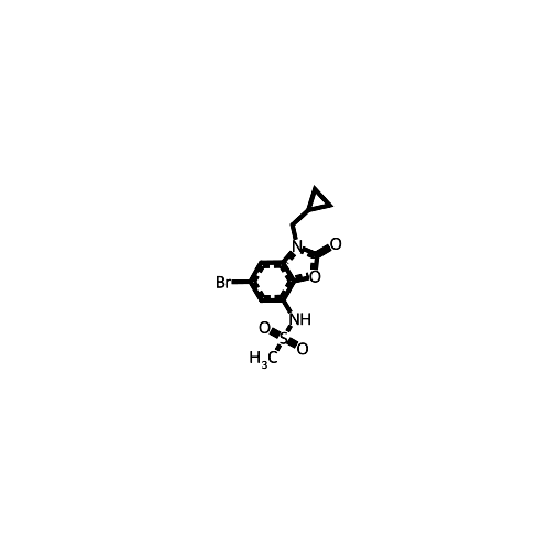 CS(=O)(=O)Nc1cc(Br)cc2c1oc(=O)n2CC1CC1